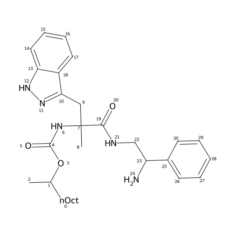 CCCCCCCCC(C)OC(=O)NC(C)(Cc1n[nH]c2ccccc12)C(=O)NCC(N)c1ccccc1